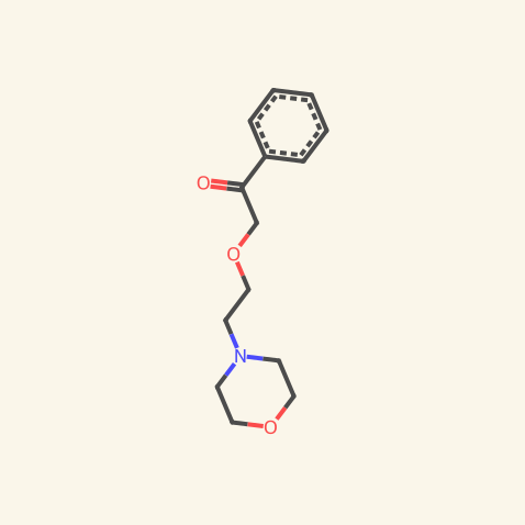 O=C(COCCN1CCOCC1)c1ccccc1